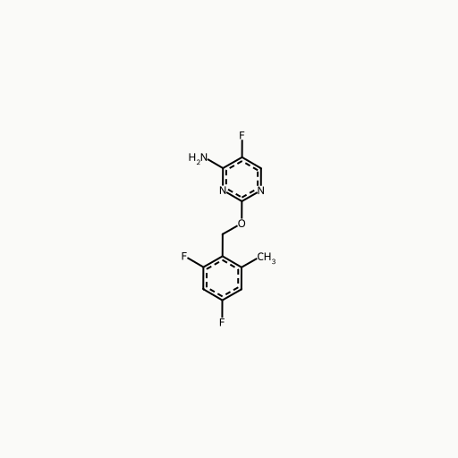 Cc1cc(F)cc(F)c1COc1ncc(F)c(N)n1